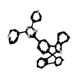 c1ccc2c(c1)-c1ccccc1C21c2ccc(-c3nc(-c4ccncc4)nc(-c4ccncc4)n3)cc2-c2c1oc1ccccc21